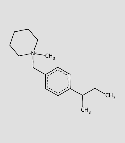 CCC(C)c1ccc(C[N+]2(C)CCCCC2)cc1